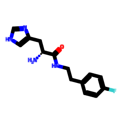 N[C@H](Cc1c[nH]cn1)C(=O)NCCc1ccc(F)cc1